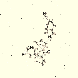 N#Cc1ccc2nn(CC3C[C@H](C(=O)N4N=CCC4c4cncc(F)c4)C4CC3C4)cc2n1